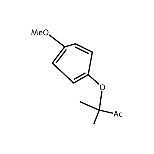 COc1ccc(OC(C)(C)C(C)=O)cc1